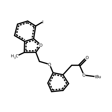 Cc1c(COc2ccccc2CC(=O)OC(C)(C)C)oc2c(I)cccc12